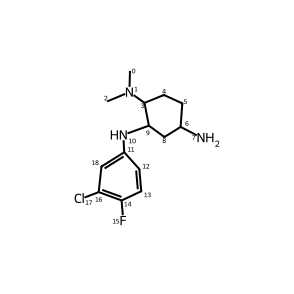 CN(C)C1CCC(N)CC1Nc1ccc(F)c(Cl)c1